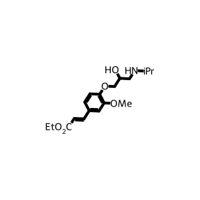 CCOC(=O)C=Cc1ccc(OCC(O)CNC(C)C)c(OC)c1